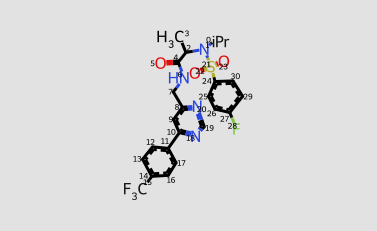 CC(C)N(C(C)C(=O)NCc1cc(-c2ccc(C(F)(F)F)cc2)ncn1)S(=O)(=O)c1ccc(F)cc1